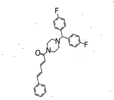 O=C(C=CC=Cc1ccccc1)N1CCN(C(c2ccc(F)cc2)c2ccc(F)cc2)CC1